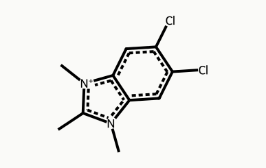 Cc1n(C)c2cc(Cl)c(Cl)cc2[n+]1C